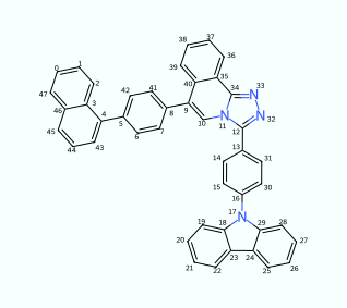 c1ccc2c(-c3ccc(-c4cn5c(-c6ccc(-n7c8ccccc8c8ccccc87)cc6)nnc5c5ccccc45)cc3)cccc2c1